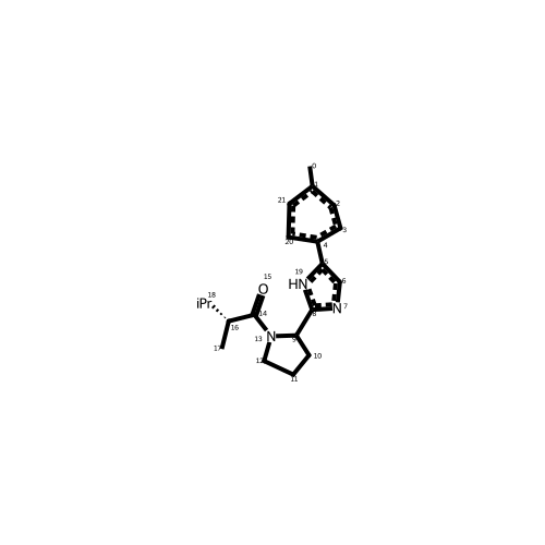 Cc1ccc(-c2cnc(C3CCCN3C(=O)[C@H](C)C(C)C)[nH]2)cc1